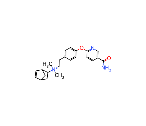 C[N+](C)(CCc1ccc(Oc2ccc(C(N)=O)cn2)cc1)C1CC2C=CC1C2